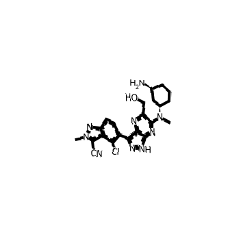 CN(c1nc2[nH]nc(-c3ccc4nn(C)c(C#N)c4c3Cl)c2nc1CO)[C@H]1CCC[C@H](N)C1